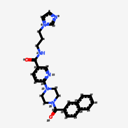 O=C(NCCCn1ccnc1)c1ccc(N2CCN(C(=O)c3ccc4ccccc4c3)CC2)nc1